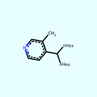 CCCCCCC(CCCCCC)c1ccncc1C